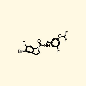 O=C(NCc1cc(F)cc(OC(F)F)c1)N1CCc2cc(Br)c(F)cc21